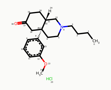 CCCCN1CC[C@@]2(c3cccc(OC)c3)CC(=O)CC[C@@H]2C1.Cl